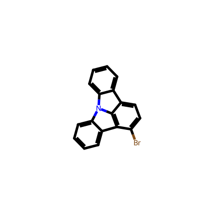 Brc1ccc2c3ccccc3n3c4ccccc4c1c23